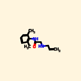 C=CCNCC(=O)Nc1c(C)cccc1C